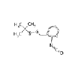 CC(C)(C)SSCc1ccccc1N=C=O